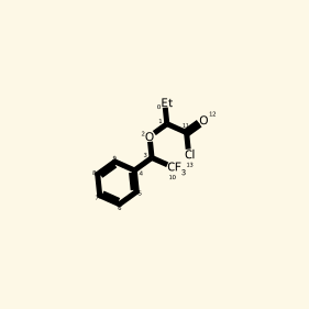 CCC(OC(c1ccccc1)C(F)(F)F)C(=O)Cl